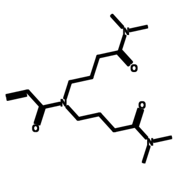 C=CC(=O)N(CCCC(=O)N(C)C)CCCC(=O)N(C)C